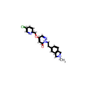 CN1Cc2ccc(CCn3ncc(OCc4ccc(Cl)cn4)cc3=O)cc2C1